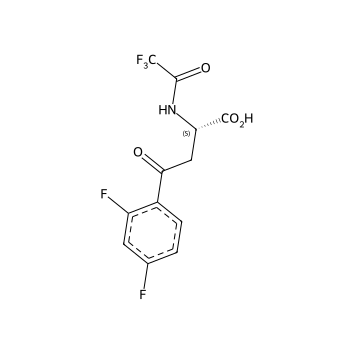 O=C(C[C@H](NC(=O)C(F)(F)F)C(=O)O)c1ccc(F)cc1F